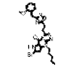 CCCCCn1c2cc(Br)[nH]c2c(=O)n2c(CCc3nc(Cc4ccccc4OC)no3)nnc12